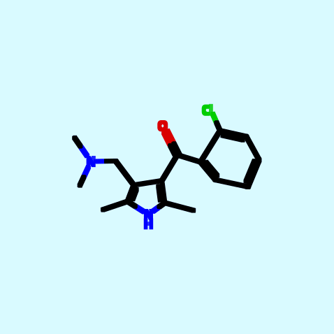 Cc1[nH]c(C)c(C(=O)c2ccccc2Cl)c1CN(C)C